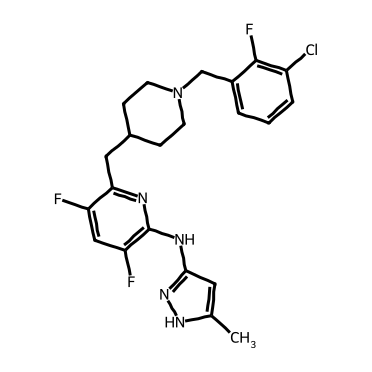 Cc1cc(Nc2nc(CC3CCN(Cc4cccc(Cl)c4F)CC3)c(F)cc2F)n[nH]1